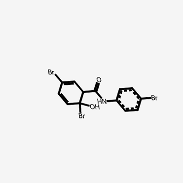 O=C(Nc1ccc(Br)cc1)C1C=C(Br)C=CC1(O)Br